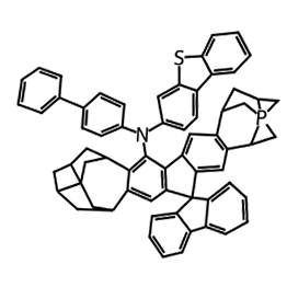 c1ccc(-c2ccc(N(c3ccc4c(c3)sc3ccccc34)c3c4c(cc5c3C3CC6CC7CC5CC76C3)C3(c5ccccc5-c5ccccc53)c3cc5c(cc3-4)C3CC4CP46(C3)CC56)cc2)cc1